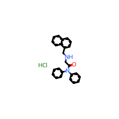 Cl.O=C(CNCc1cccc2ccccc12)N(c1ccccc1)c1ccccc1